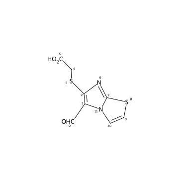 O=Cc1c(SCC(=O)O)nc2sccn12